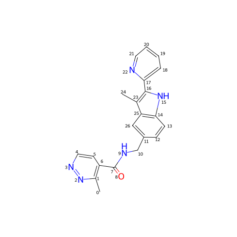 Cc1nnccc1C(=O)NCc1ccc2[nH]c(-c3ccccn3)c(C)c2c1